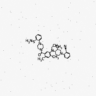 CCN(c1cc(C(=O)N2CCN(c3ccccc3SN)CC2)c(C)cc1C)C1CCN(c2ccccc2C#N)CC1C